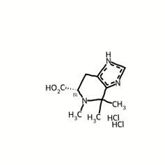 CN1[C@H](C(=O)O)Cc2[nH]cnc2C1(C)C.Cl.Cl